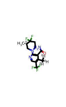 [2H]C([2H])([2H])c1c(C(F)(F)F)cnc(N2CCC(F)(F)[C@@H](C)C2)c1C(N)=O